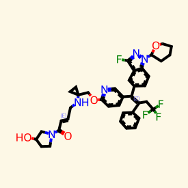 O=C(/C=C/CNC1(COc2ccc(/C(=C(/CC(F)(F)F)c3ccccc3)c3ccc4c(c3)c(F)nn4C3CCCCO3)cn2)CC1)N1CCC(O)C1